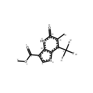 COC(=O)c1csc2c(C(F)(F)F)c(C)c(=O)[nH]c12